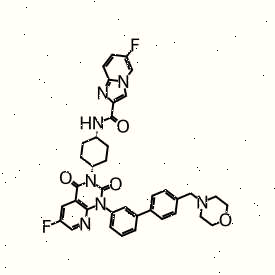 O=C(N[C@H]1CC[C@@H](n2c(=O)c3cc(F)cnc3n(-c3cccc(-c4ccc(CN5CCOCC5)cc4)c3)c2=O)CC1)c1cn2cc(F)ccc2n1